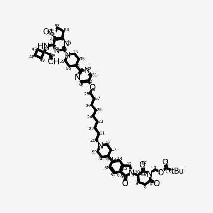 CC(C)(C)C(=O)OCN1C(=O)CCC(N2Cc3cc(C4CCN(CCCCCCCCCOc5cnc(C6CCN(c7nc8c(c(NC9(CO)CCC9)n7)[S@+]([O-])CC8)CC6)nc5)CC4)ccc3C2=O)C1=O